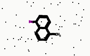 CC1=CC=CC2C1=CC=CC2I